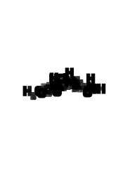 COc1ccc(NC(=O)N2CCC(Nc3ccc(/C=C/C(=O)NO)cn3)CC2)cc1.Cl